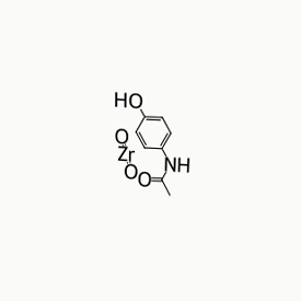 CC(=O)Nc1ccc(O)cc1.[O]=[Zr]=[O]